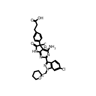 CC1(c2ccc(CCC(=O)O)cc2)C(=O)Nc2nc(-c3nn(C[C@@H]4CCCCO4)c4cc(Cl)ccc34)nc(N)c21